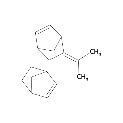 C1=CC2CCC1C2.CC(C)=C1CC2C=CC1C2